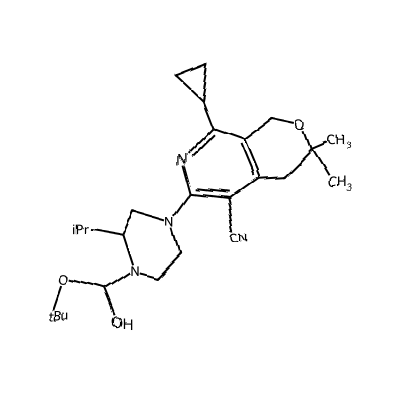 CC(C)C1CN(c2nc(C3CC3)c3c(c2C#N)CC(C)(C)OC3)CCN1C(O)OC(C)(C)C